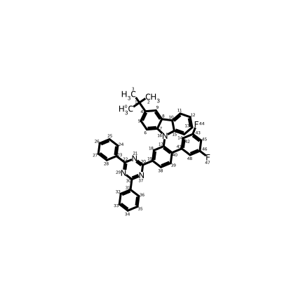 CC(C)(C)c1ccc2c(c1)c1ccccc1n2-c1cc(-c2nc(-c3ccccc3)nc(-c3ccccc3)n2)ccc1-c1cc(F)cc(F)c1